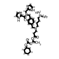 CCCN(CCC)CCCCN(CCC(=O)OC(C)OC(=O)OC1CCCCC1)Cc1ccc(CN(Cc2ncc[nH]2)C(C)c2ncc[nH]2)cc1